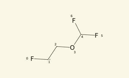 F[CH]COC(F)F